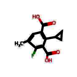 Cc1cc(C(=O)O)c(C2CC2)c(C(=O)O)c1F